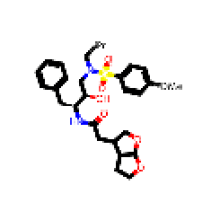 COc1ccc(S(=O)(=O)N(CC(C)C)C[C@@H](O)[C@H](Cc2ccccc2)NC(=O)CC2COC3OCCC23)cc1